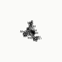 CNC(=O)NC[C@H]1[C@@H](O)[C@H](n2c[n+](C)c3c(=O)[nH]c(N)nc32)O[C@@H]1COP(=O)(O)OP(=O)(O)OP(=O)(O)OC[C@H]1O[C@@H](n2cnc3c(N)ncnc32)[C@H](OC)[C@@H]1OP(=O)([O-])OC[C@H]1O[C@@H](n2ccc(=O)[nH]c2=O)[C@H](O)[C@@H]1O